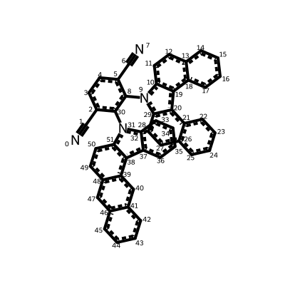 N#Cc1ccc(C#N)c(-n2c3ccc4ccccc4c3c3c4ccccc4ccc32)c1-n1c2ccccc2c2c3cc4ccccc4cc3ccc21